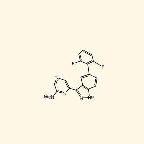 CNc1cncc(-c2n[nH]c3ccc(-c4c(F)cccc4F)cc23)n1